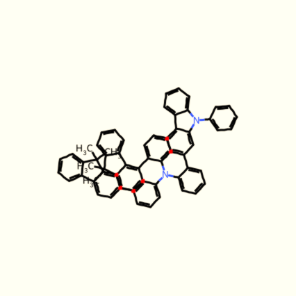 CC1(C)c2ccccc2-c2ccc(-c3cccc(N(c4ccccc4-c4ccc5c6ccccc6n(-c6ccccc6)c5c4)c4ccccc4-c4cccc5c4-c4ccccc4C5(C)C)c3)cc21